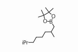 CC(C)CCCCC(C)CB1OC(C)(C)C(C)(C)O1